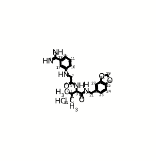 CC(C)C(NC(=O)CNc1cccc(C(=N)N)c1)C(=O)NCc1ccc2c(c1)OCO2.Cl